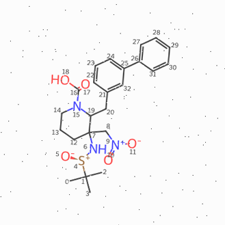 CC(C)(C)[S@@+]([O-])NC1(C[N+](=O)[O-])CCCN(C(=O)O)C1Cc1cccc(-c2ccccc2)c1